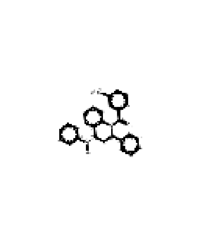 COc1cccc(C(=O)N2c3ccccc3[C@@H](N(C(C)=O)c3ccccc3)CC2c2ccccc2)c1